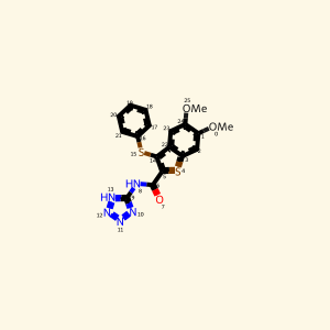 COc1cc2sc(C(=O)Nc3nnn[nH]3)c(Sc3ccccc3)c2cc1OC